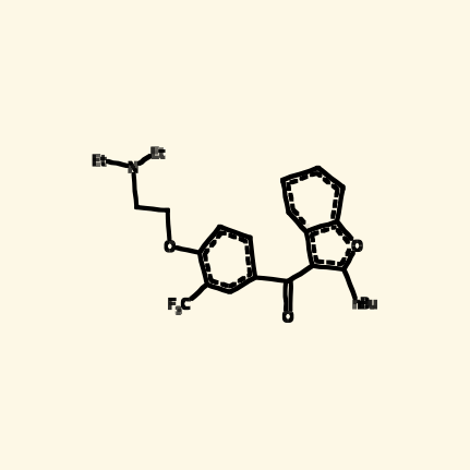 CCCCc1oc2ccccc2c1C(=O)c1ccc(OCCN(CC)CC)c(C(F)(F)F)c1